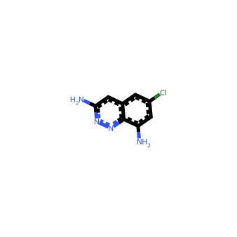 Nc1cc2cc(Cl)cc(N)c2nn1